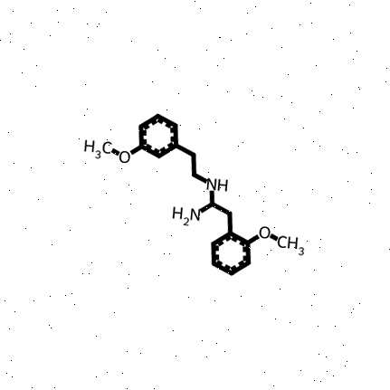 COc1cccc(CCNC(N)Cc2ccccc2OC)c1